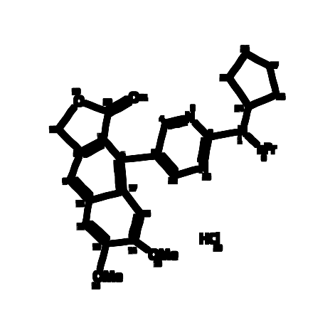 CCCN(c1ncc(-c2c3c(cc4cc(OC)c(OC)cc24)COC3=O)cn1)C1CCCC1.Cl